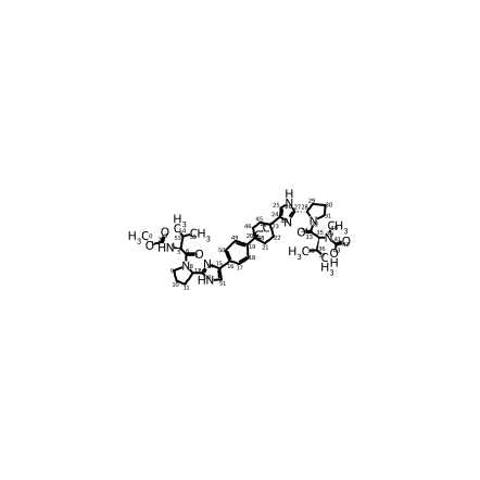 COC(=O)N[C@H](C(=O)N1CCCC1c1nc(-c2ccc(C34CCC(c5c[nH]c([C@@H]6CCCN6C(=O)[C@H](C(C)C)N(C)C(=O)O)n5)(CC3)CC4)cc2)c[nH]1)C(C)C